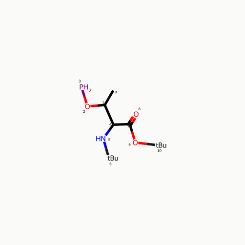 CC(OP)C(NC(C)(C)C)C(=O)OC(C)(C)C